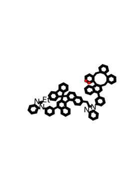 CCc1nc2ccccc2n1-c1cccc(-c2cc3c(c4ccccc24)-c2c(ccc4cc(Cc5nc6ccccc6n5-c5cccc(-c6cc7c(c8ccccc68)-c6c(ccc8ccccc68)Cc6ccccc6-c6ccccc6C7)c5)ccc24)C32c3ccccc3-c3ccccc32)c1